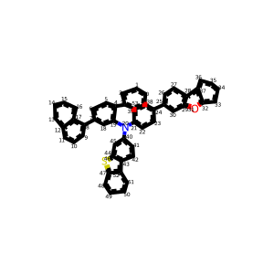 c1ccc(-c2ccc(-c3cccc4ccccc34)cc2N(c2ccc(-c3ccc4c(c3)oc3ccccc34)cc2)c2ccc3c(c2)sc2ccccc23)cc1